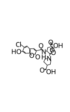 O=C(NC(CS(=O)(=O)O)C(=O)N1CCC(C(=O)O)CC1)c1cc2cc(Cl)c(O)cc2oc1=O